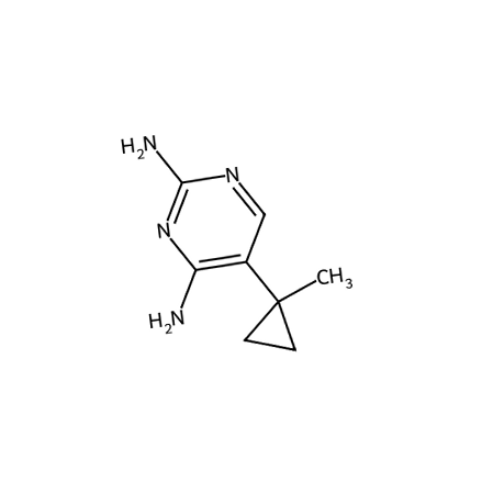 CC1(c2cnc(N)nc2N)CC1